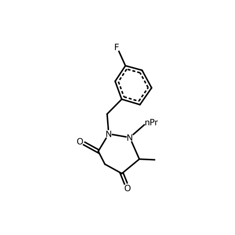 CCCN1C(C)C(=O)CC(=O)N1Cc1cccc(F)c1